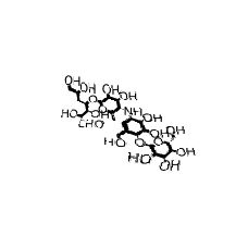 C[C@H]1OC(O[C@H](CC(O)CO)[C@H](O)[C@@H](O)C=O)C(O)[C@@H](O)[C@@H]1N[C@H]1C=C(CO)[C@@H](O[C@H]2O[C@H](CO)C(O)[C@H](O)C2O)C(O)[C@H]1O